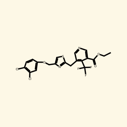 CCOC(=O)c1cncc(Cc2nc(COc3ccc(Cl)c(Cl)c3)cs2)c1C(F)(F)F